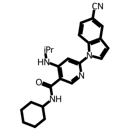 CC(C)Nc1cc(-n2ccc3cc(C#N)ccc32)ncc1C(=O)NC1CCCCC1